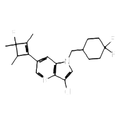 CC1=C(c2cbc3c(Cl)cn(CC4CCC(F)(F)CC4)c3c2)C(C)C1(C)F